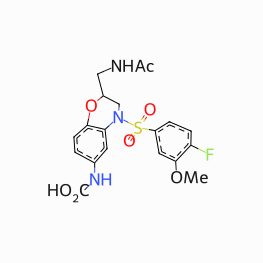 COc1cc(S(=O)(=O)N2CC(CNC(C)=O)Oc3ccc(NC(=O)O)cc32)ccc1F